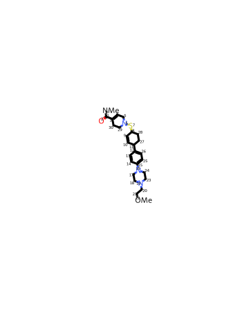 CNC(=O)C1=CCN(SC2C=CC(c3ccc(N4CCN(CCOC)CC4)cc3)CC2)CC1